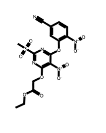 CCOC(=O)COc1nc(S(C)(=O)=O)nc(Oc2cc(C#N)ccc2[N+](=O)[O-])c1[N+](=O)[O-]